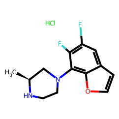 C[C@H]1CN(c2c(F)c(F)cc3ccoc23)CCN1.Cl